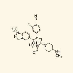 CNC1CCN(/C(=N/C(=C(\C)c2ccc3c(cnn3C)c2)c2ccc(C#N)c(F)c2)N(C)C=O)CC1